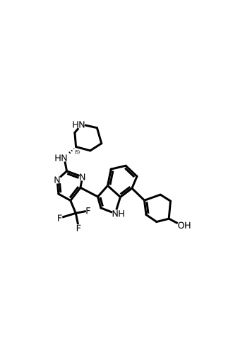 OC1CC=C(c2cccc3c(-c4nc(N[C@H]5CCCNC5)ncc4C(F)(F)F)c[nH]c23)CC1